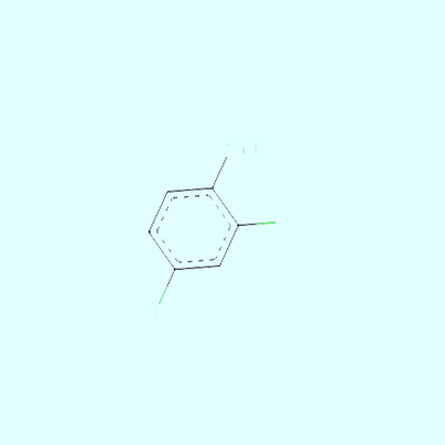 Clc1cc[c]([SnH])c(Cl)c1